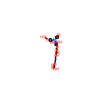 COc1ccc(-c2nc(-c3ccc(OCCO)cc3O)nc(-c3ccc(OCCOC(=O)CC(=O)OCCCCCCOC(=O)CC(=O)O)cc3O)n2)cc1